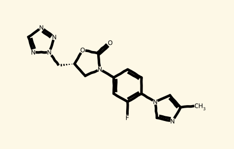 Cc1cn(-c2ccc(N3C[C@H](Cn4ncnn4)OC3=O)cc2F)cn1